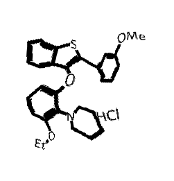 CCOc1cccc(Oc2c(-c3cccc(OC)c3)sc3ccccc23)c1N1CCCCC1.Cl